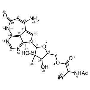 CC(=O)NC(C(=O)OCC1OC(n2cc3c4c(ncnc42)NC(=O)C=C3N)C(C)(O)C1O)C(C)C